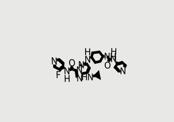 O=C(Nc1ccncc1)NC1CCC(Nc2cc(NC3CC3)c3ncc(C(=O)Nc4ccncc4F)n3n2)CC1